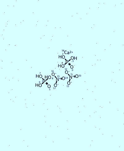 O=P(O)(O)O.O=P(O)(O)O.O=[N+]([O-])[O-].O=[N+]([O-])[O-].[Ca+2]